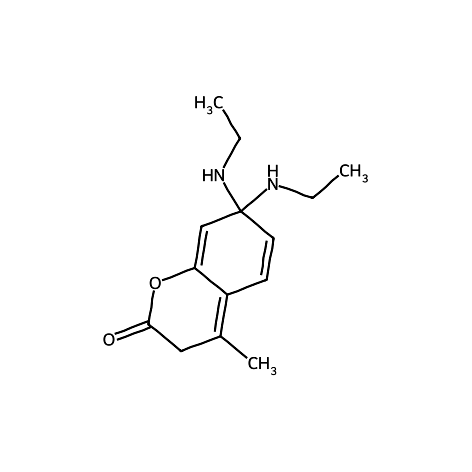 CCNC1(NCC)C=CC2=C(C)CC(=O)OC2=C1